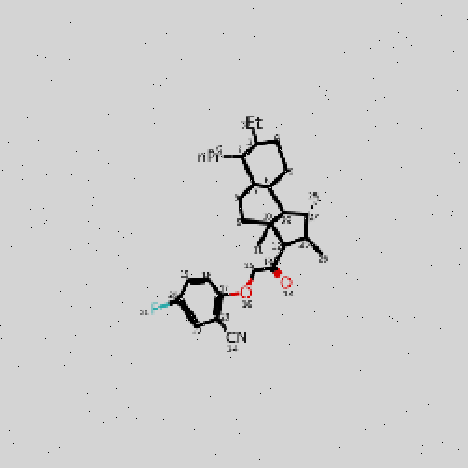 CCCC1C(CC)CCC2C1CCC1(C)C(C(=O)COc3ccc(F)cc3C#N)C(C)[C@@H](C)C21